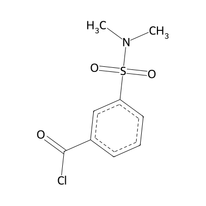 CN(C)S(=O)(=O)c1cccc(C(=O)Cl)c1